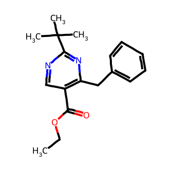 CCOC(=O)c1cnc(C(C)(C)C)nc1Cc1ccccc1